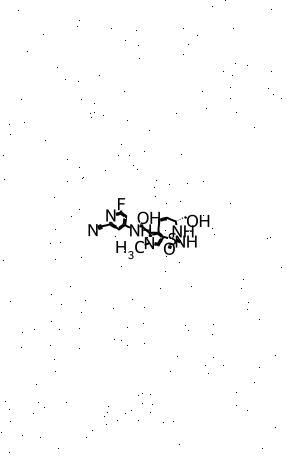 Cn1cc2c(c1C(O)Nc1cc(F)nc(C#N)c1)C=C[C@H](CO)NS2(=N)=O